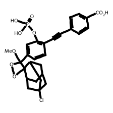 COC1(c2ccc(C#Cc3ccc(C(=O)O)cc3)c(OP(=O)(O)O)c2)OOC12C1CC3CC2CC(Cl)(C3)C1